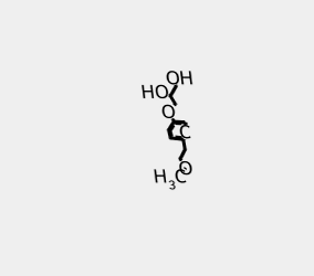 COCCc1ccc(OCC(O)CO)cc1